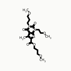 COCCCOC(=O)c1sc2c(c1C)c(=O)n(CCCOC)c(=O)n2CCOC